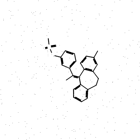 C/C(=C1\c2ccccc2CCc2cc(C)ccc21)c1cccc(NS(C)(=O)=O)c1